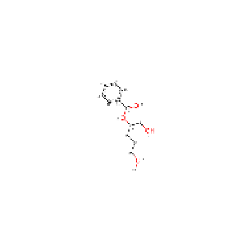 COCCCC(CO)OC(=O)c1ccccc1